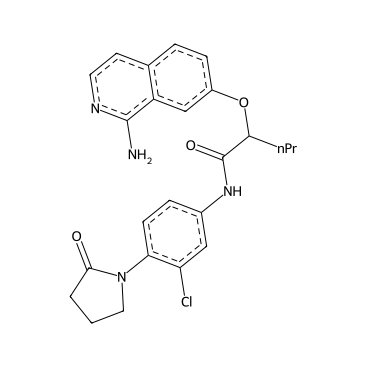 CCCC(Oc1ccc2ccnc(N)c2c1)C(=O)Nc1ccc(N2CCCC2=O)c(Cl)c1